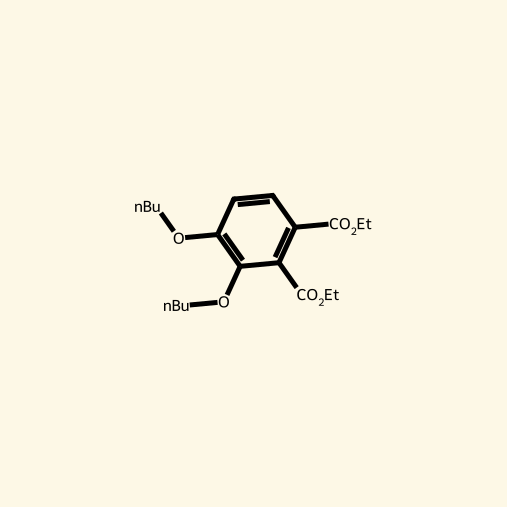 CCCCOc1ccc(C(=O)OCC)c(C(=O)OCC)c1OCCCC